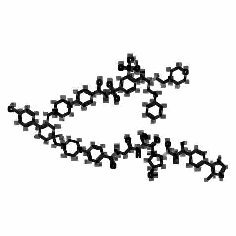 Cc1ncsc1-c1ccc([C@H](C)NC(=O)[C@@H]2C[C@@H](O)CN2C(=O)[C@@H](NC(=O)CNC(=O)c2ccc(N3CCN(CC4(C)CCC(c5ccc(Cl)cc5)=C(CN5CCN(c6ccc(C(=O)NS(=O)(=O)c7ccc(N[C@H](CCN8CCOCC8)CSc8ccccc8)c(S(=O)(=O)C(F)(F)F)c7)cc6)CC5)C4)CC3)cc2)C(C)(C)C)cc1